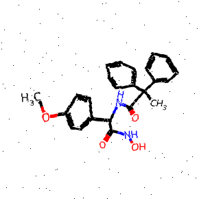 COc1ccc(C(NC(=O)C(C)(c2ccccc2)c2ccccc2)C(=O)NO)cc1